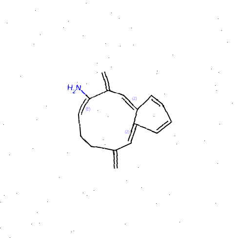 C=C1/C=c2/cccc/c2=C/C(=C)/C(N)=C\CC1